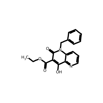 CCOC(=O)c1c(O)c2ncccc2n(Cc2ccccc2)c1=O